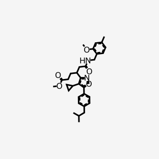 COC(=O)CCC(CC(=O)NCc1ccc(C)cc1OC)c1noc(-c2ccc(CC(C)C)cc2)c1C1CC1